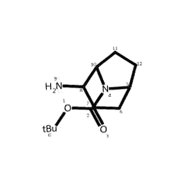 CC(C)(C)OC(=O)N1C2CCC(N)C1CC2